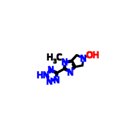 Cn1c(-c2nn[nH]n2)nc2c1CN(O)C2